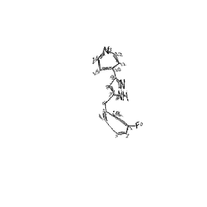 Fc1cccc(Cc2cc(-c3ccncc3)n[nH]2)c1